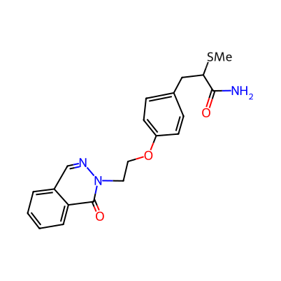 CSC(Cc1ccc(OCCn2ncc3ccccc3c2=O)cc1)C(N)=O